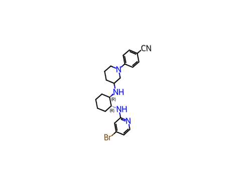 N#Cc1ccc(N2CCCC(N[C@@H]3CCCC[C@H]3Nc3cc(Br)ccn3)C2)cc1